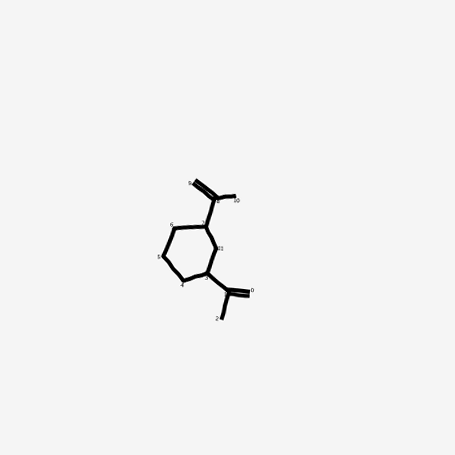 C=C(C)C1CCCC(C(=C)C)C1